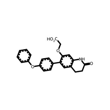 O=C(O)COc1cc2c(cc1-c1ccc(Oc3ccccc3)cc1)CCC(=O)N2